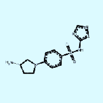 N[C@H]1CCN(c2ccc(S(=O)(=O)Nc3ncns3)cc2)C1